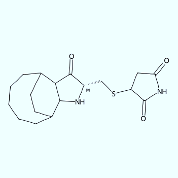 O=C1CC(SC[C@@H]2NC3C4CCCCCC(CC4)C3C2=O)C(=O)N1